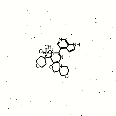 CS(=O)(=O)C1(c2nc(-c3cncc4[nH]ccc34)nc3c2OCC2COCCN32)CCOCC1